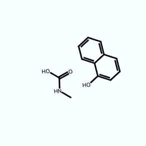 CNC(=O)O.Oc1cccc2ccccc12